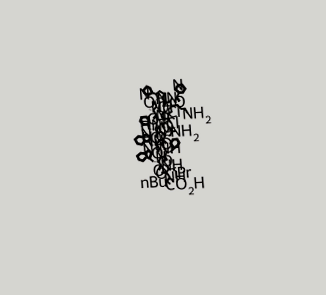 CCCC[C@H](NC(=O)[C@H](CC(C)C)NC(=O)[C@H](Cc1c[nH]c2ccccc12)NC(=O)[C@H](Cc1ccccc1)NC(=O)[C@H](Cc1c[nH]c2ccccc12)NC(=O)[C@H](CC(N)=O)NC(=O)[C@H](Cc1ccccc1)NC(=O)[C@@H]1C(Cl)C(Cl)CN1C(=O)[C@H](C)NC(=O)[C@@H]1C(c2cccnc2)CCN1C(=O)[C@H](CCCCN)NC(=O)c1cccnc1)C(=O)O